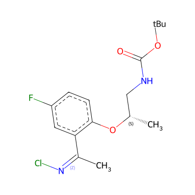 C/C(=N/Cl)c1cc(F)ccc1O[C@@H](C)CNC(=O)OC(C)(C)C